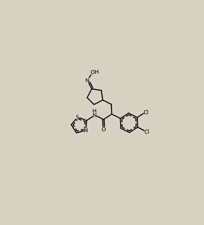 O=C(Nc1nccs1)C(CC1CC/C(=N/O)C1)c1ccc(Cl)c(Cl)c1